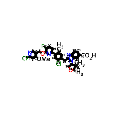 COc1cc(Cl)ncc1COc1nc(-c2cc(Cl)c(Cc3nc4ccc(C(=O)O)cc4n3C3COCC3(C)C)cc2C)ccc1F